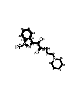 CC(C)n1nc(C(=O)C(=O)NCCN2CCCCC2)c2ccccc21